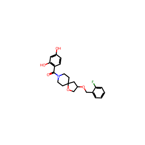 O=C(c1ccc(O)cc1O)N1CCC2(CC1)CC(OCc1ccccc1F)CO2